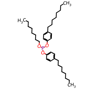 CCCCCCCCOP(Oc1ccc(CCCCCCCC)cc1)Oc1ccc(CCCCCCCC)cc1